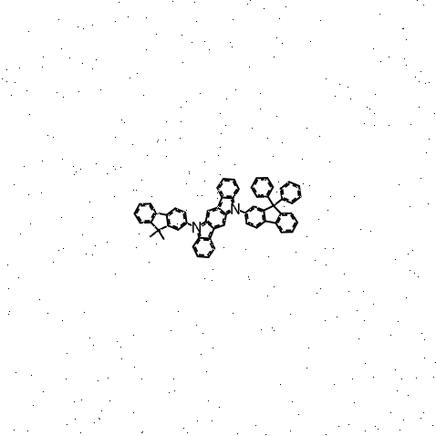 CC1(C)c2ccccc2-c2ccc(-n3c4ccccc4c4cc5c(cc43)c3ccccc3n5-c3ccc4c(c3)C(c3ccccc3)(c3ccccc3)c3ccccc3-4)cc21